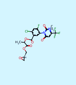 CC(OC(=O)c1cc(-n2c(=O)cc(C(F)(F)F)n(C)c2=O)c(F)cc1Cl)C(=O)OC[C@H]1CO1